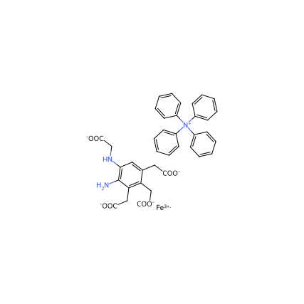 Nc1c(NCC(=O)[O-])cc(CC(=O)[O-])c(CC(=O)[O-])c1CC(=O)[O-].[Fe+3].c1ccc([N+](c2ccccc2)(c2ccccc2)c2ccccc2)cc1